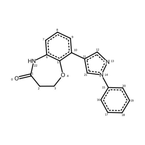 O=C1CCOc2c(cccc2-c2cnn(-c3ccccc3)c2)N1